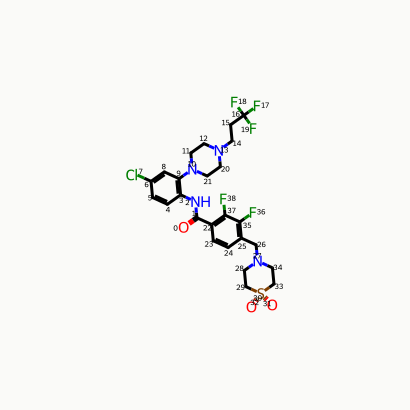 O=C(Nc1ccc(Cl)cc1N1CCN(CCC(F)(F)F)CC1)c1ccc(CN2CCS(=O)(=O)CC2)c(F)c1F